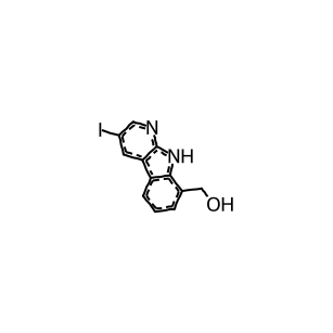 OCc1cccc2c1[nH]c1ncc(I)cc12